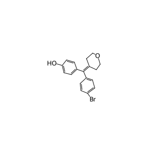 Oc1ccc(C(=C2CCOCC2)c2ccc(Br)cc2)cc1